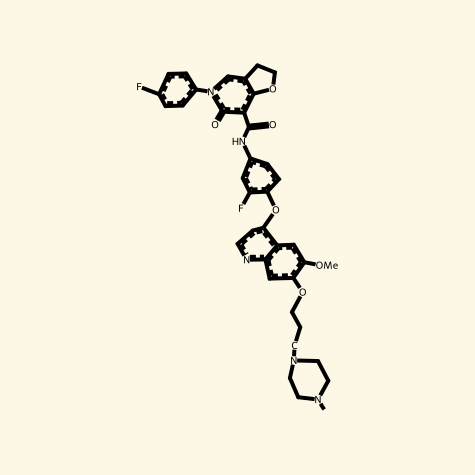 COc1cc2c(Oc3ccc(NC(=O)c4c5c(cn(-c6ccc(F)cc6)c4=O)CCO5)cc3F)ccnc2cc1OCCCN1CCN(C)CC1